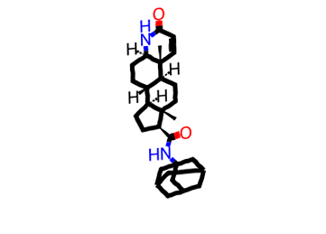 C[C@]12C=CC(=O)N[C@@H]1CC[C@@H]1[C@@H]2CC[C@]2(C)[C@@H](C(=O)NC34CC5CC(CC(C5)C3)C4)CC[C@@H]12